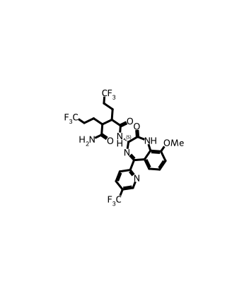 COc1cccc2c1NC(=O)[C@@H](NC(=O)C(CCC(F)(F)F)C(CCC(F)(F)F)C(N)=O)N=C2c1ccc(C(F)(F)F)cn1